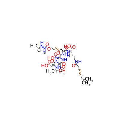 CC(C)CCSSCCC(=O)NCCCC[C@H](NC(=O)[C@H](CSSCCOC(=O)NNC(C)C)NC(=O)[C@H](CC(=O)O)NC(=O)[C@H](CC(=O)O)NC(=O)[C@H](CC(=O)O)NC(C)C)C(=O)O